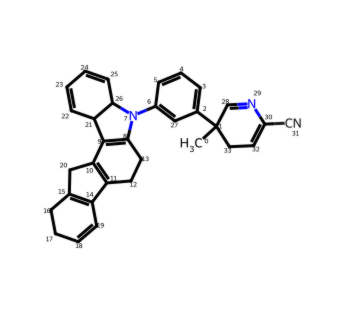 CC1(c2cccc(N3C4=C(C5=C(CC4)C4=C(CCC=C4)C5)C4C=CC=CC43)c2)C=NC(C#N)=CC1